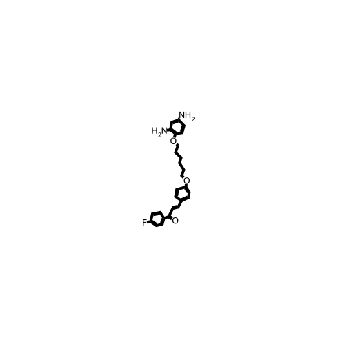 Nc1ccc(OCCCCCCOc2ccc(C=CC(=O)c3ccc(F)cc3)cc2)c(N)c1